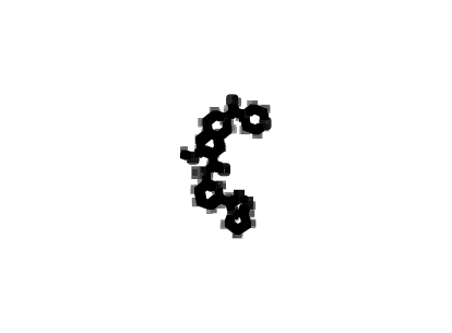 COc1cc2c(cc1C(=O)Nc1cccc(-c3nnc4n3CCC4)n1)CN(C(=O)N1CCOCC1)CC2